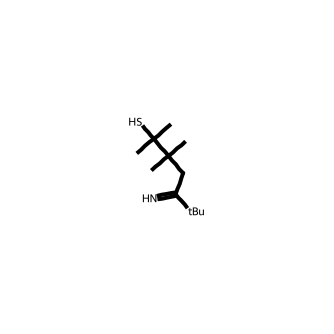 CC(C)(C)C(=N)CC(C)(C)C(C)(C)S